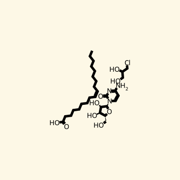 CCCCCCCC/C=C\CCCCCCCC(=O)O.Nc1ccn([C@@H]2O[C@H](CO)[C@@H](O)[C@H]2O)c(=O)n1.OCC(O)CCl